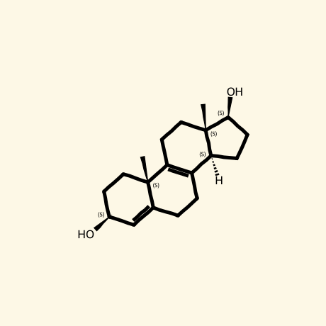 C[C@]12CC[C@H](O)C=C1CCC1=C2CC[C@]2(C)[C@@H](O)CC[C@@H]12